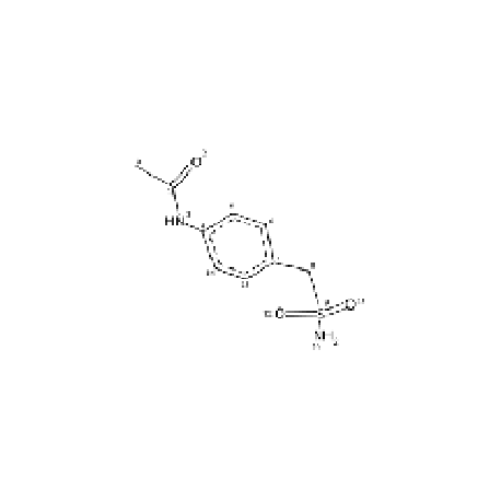 CC(=O)Nc1ccc(CS(N)(=O)=O)cc1